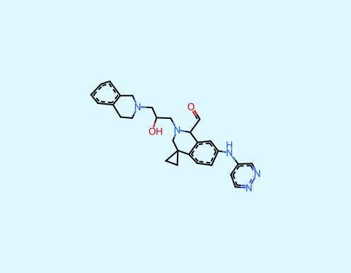 O=CC1c2cc(Nc3ccnnc3)ccc2C2(CC2)CN1CC(O)CN1CCc2ccccc2C1